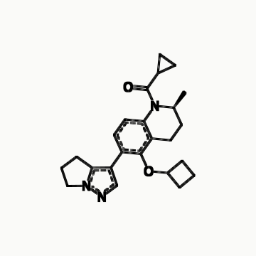 C[C@H]1CCc2c(ccc(-c3cnn4c3CCC4)c2OC2CCC2)N1C(=O)C1CC1